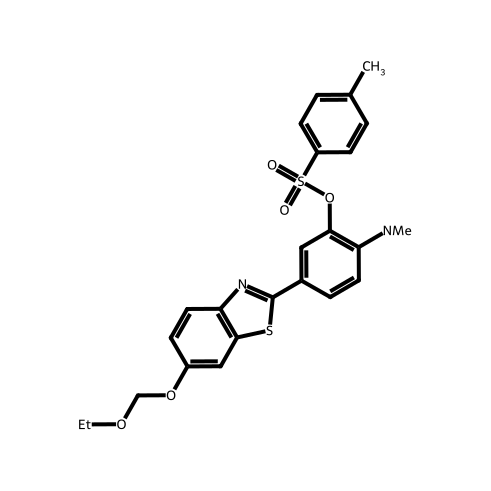 CCOCOc1ccc2nc(-c3ccc(NC)c(OS(=O)(=O)c4ccc(C)cc4)c3)sc2c1